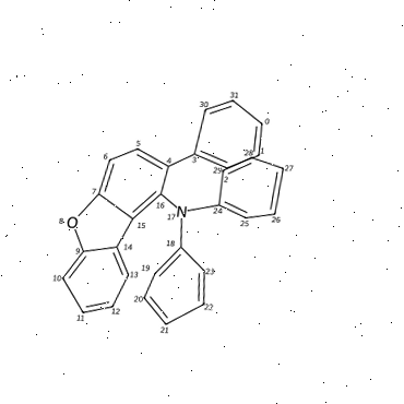 c1ccc(-c2ccc3oc4ccccc4c3c2N(c2ccccc2)c2ccccc2)cc1